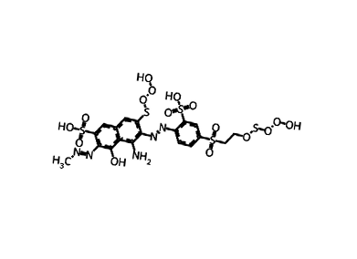 C/N=N/c1c(S(=O)(=O)O)cc2cc(SOOO)c(/N=N/c3ccc(S(=O)(=O)CCOSOOO)cc3S(=O)(=O)O)c(N)c2c1O